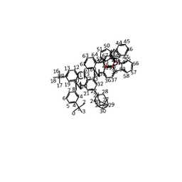 CC(C)(C)c1cccc(N(c2cccc(C(C)(C)C)c2)c2cc(C34CC5CC(C3)C(C5)C4)cc(N(c3ccc4c(c3)[Si](c3ccccc3)(c3ccccc3)c3ccccc3-4)c3ccccc3-c3ccccc3)c2Cl)c1